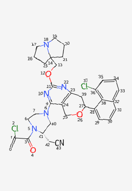 C=C(Cl)C(=O)N1CCN(c2nc(OCC34CCCN3CCC4)nc3c2COC(c2cccc4cccc(Cl)c24)C3)C[C@@H]1CC#N